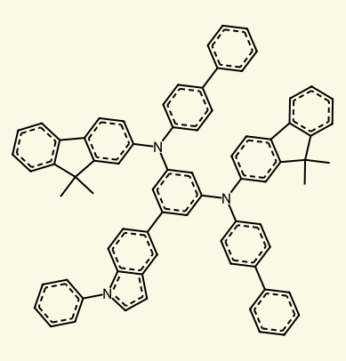 CC1(C)c2ccccc2-c2ccc(N(c3ccc(-c4ccccc4)cc3)c3cc(-c4ccc5c(ccn5-c5ccccc5)c4)cc(N(c4ccc(-c5ccccc5)cc4)c4ccc5c(c4)C(C)(C)c4ccccc4-5)c3)cc21